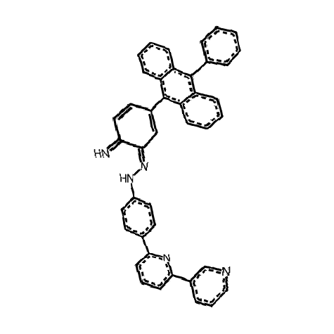 N=C1C=CC(c2c3ccccc3c(-c3ccccc3)c3ccccc23)=C/C1=N/Nc1ccc(-c2cccc(-c3cccnc3)n2)cc1